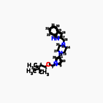 C[Si](C)(C)CCOCn1ccc(N2CCN(Cc3cc4ccccc4[nH]3)CC2)c1